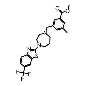 COC(=O)c1cc(C)cc(CN2CCCN(c3nc4ccc(C(F)(F)F)cc4s3)CC2)c1